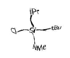 CN[Si](Cl)(C(C)C)C(C)(C)C